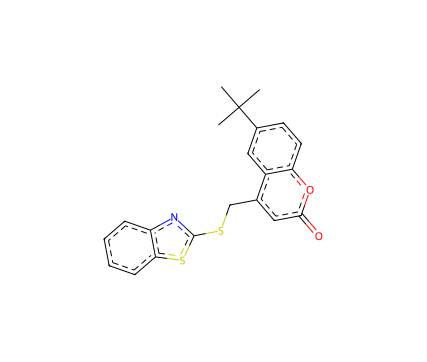 CC(C)(C)c1ccc2oc(=O)cc(CSc3nc4ccccc4s3)c2c1